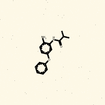 CC(C)C(=O)Nc1cc(Oc2ccccc2)ccc1N